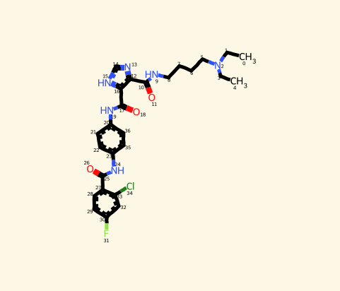 CCN(CC)CCCCNC(=O)c1nc[nH]c1C(=O)Nc1ccc(NC(=O)c2ccc(F)cc2Cl)cc1